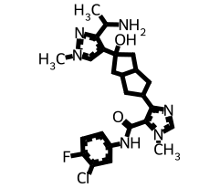 CC(N)c1nn(C)cc1C1(O)CC2CC(c3ncn(C)c3C(=O)Nc3ccc(F)c(Cl)c3)CC2C1